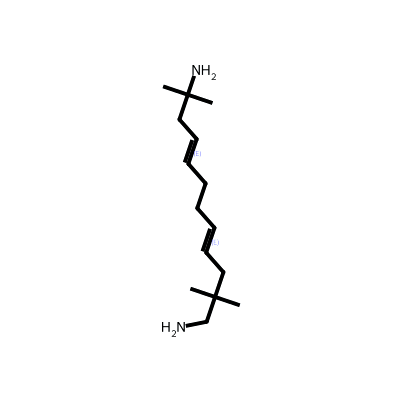 CC(C)(N)C/C=C/CC/C=C/CC(C)(C)CN